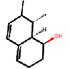 CC1C=CC2=CCC[C@H](O)[C@@H]2[C@H]1C